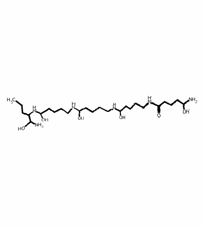 CCCC(NC(O)CCCCNC(O)CCCCNC(O)CCCCNC(=O)CCCC(N)O)C(N)O